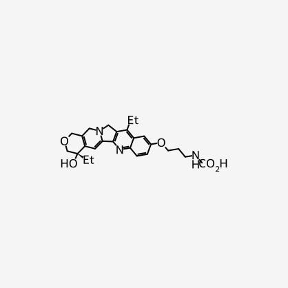 CCc1c2c(nc3ccc(OCCCNC(=O)O)cc13)C1=CC3=C(COC[C@]3(O)CC)CN1C2